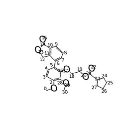 COc1ccc(-c2cccc3c2COC3=O)c(OCCOC(=O)C2CCCC2)c1OC